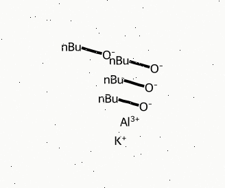 CCCC[O-].CCCC[O-].CCCC[O-].CCCC[O-].[Al+3].[K+]